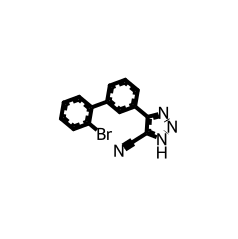 N#Cc1[nH]nnc1-c1cccc(-c2ccccc2Br)c1